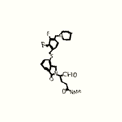 CNC(=O)CCC(C=O)N1Cc2c(SCc3ccc(CN4CCCCC4)c(F)c3F)cccc2C1=O